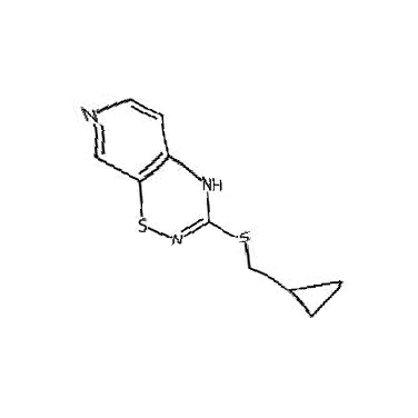 c1cc2c(cn1)SN=C(SCC1CC1)N2